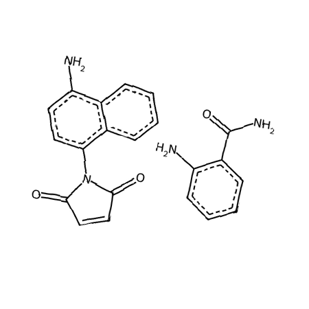 NC(=O)c1ccccc1N.Nc1ccc(N2C(=O)C=CC2=O)c2ccccc12